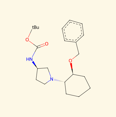 CC(C)(C)OC(=O)N[C@@H]1CCN([C@H]2CCCC[C@@H]2OCc2ccccc2)C1